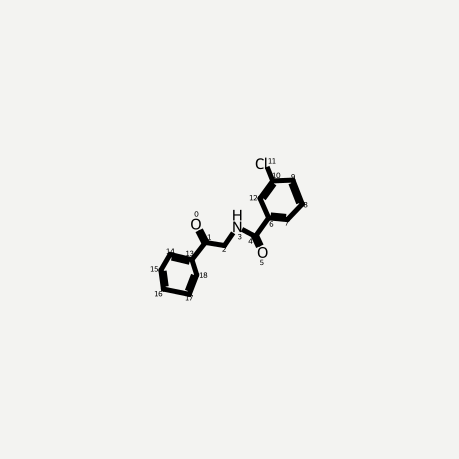 O=C(CNC(=O)c1cccc(Cl)c1)c1ccccc1